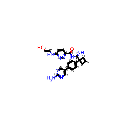 N=C(NC(=O)c1ccc(NCCO)nn1)C1(c2ccc(-c3cnc(N)nc3)cc2)CCC1